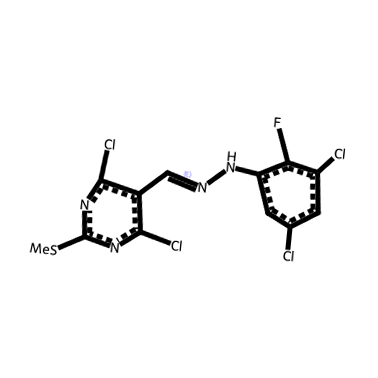 CSc1nc(Cl)c(/C=N/Nc2cc(Cl)cc(Cl)c2F)c(Cl)n1